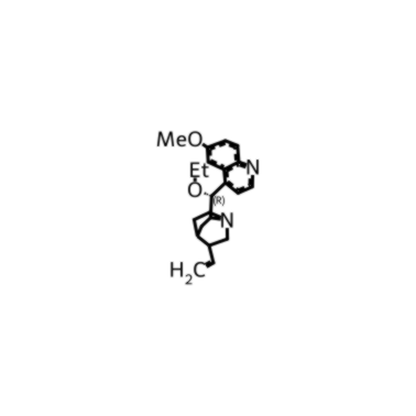 C=CC1CN2CCC1CC2[C@H](OCC)c1ccnc2ccc(OC)cc12